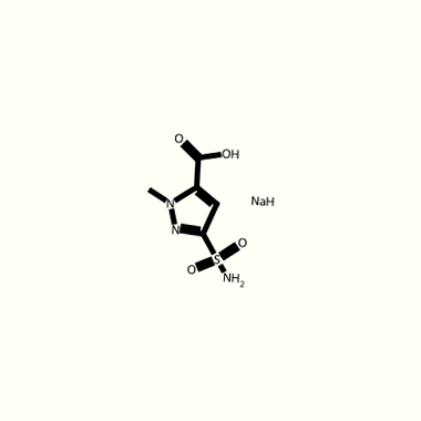 Cn1nc(S(N)(=O)=O)cc1C(=O)O.[NaH]